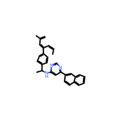 C=C(C)/C=C(\C=C/C)c1ccc(C(C)Nc2cc(-c3ccc4ccccc4c3)ncn2)cc1